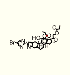 CCC(=O)OCC(=O)[C@@]1(OC(=O)CC)[C@@H](C)C[C@H]2[C@@H]3CCC4=Cc5nn(-c6ncc(Br)cn6)cc5C[C@]4(C)[C@@]3(Cl)[C@@H](O)C[C@@]21C